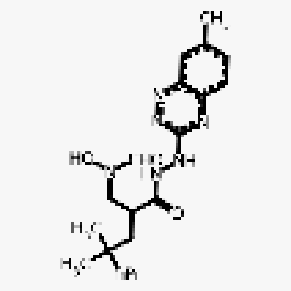 CCCC(C)(C)CC(CN(O)C=O)C(=O)NNc1nnc2cc(C)ccc2n1